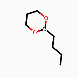 CCCCB1OCCCO1